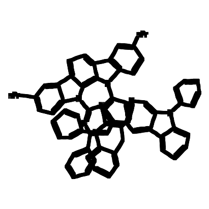 CCCc1ccc2c(c1)c1ccc3c4cc(CCC)ccc4n(-c4nc(-c5ccccc5)cc(-c5cc6c7ccccc7n(-c7ccccc7)c6cn5)n4)c3c1n2-c1ccc2c(c1)N(c1ccccc1)c1ccccc1C2